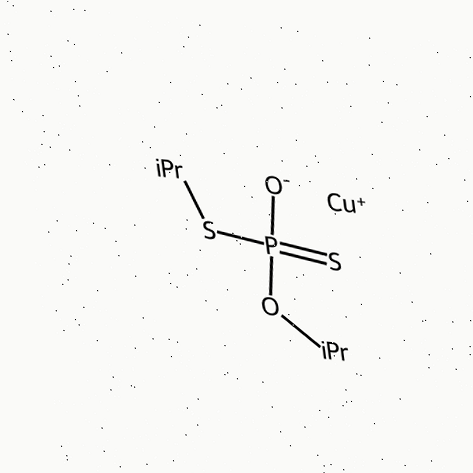 CC(C)OP([O-])(=S)SC(C)C.[Cu+]